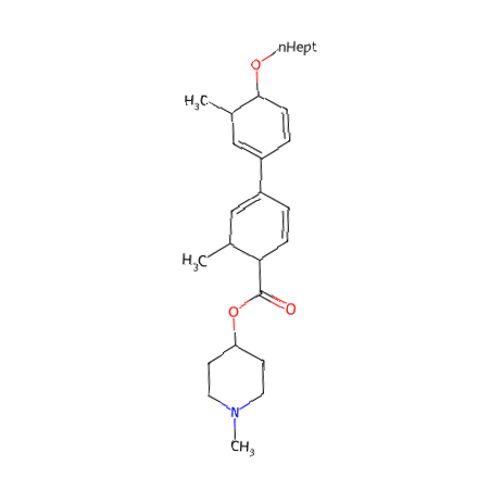 CCCCCCCOC1C=CC(C2=CC(C)C(C(=O)OC3CCN(C)CC3)C=C2)=CC1C